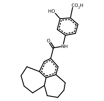 O=C(Nc1ccc(C(=O)O)c(O)c1)c1cc2c3c(c1)CCCCC3CCCC2